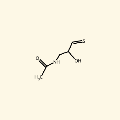 CC(=O)NCC(O)[C]=S